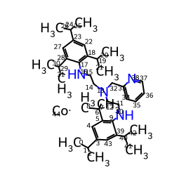 CC(C)c1cc(C(C)C)c(NCCN(CCNc2c(C(C)C)cc(C(C)C)cc2C(C)C)Cc2ccccn2)c(C(C)C)c1.[Co]